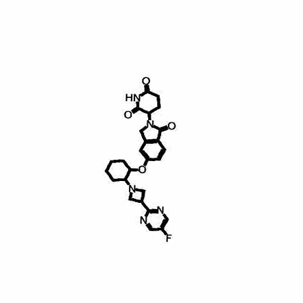 O=C1CCC(N2Cc3cc(OC4CCCCC4N4CC(c5ncc(F)cn5)C4)ccc3C2=O)C(=O)N1